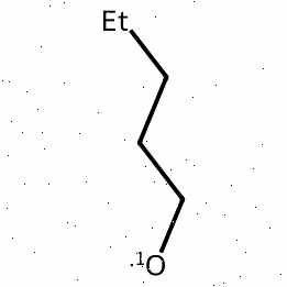 CCCCC[1O]